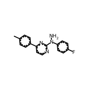 Cc1ccc(-c2ccnc(N(N)c3ccc(F)cc3)n2)cc1